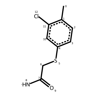 Cc1ccc(SCC([NH])=O)cc1Cl